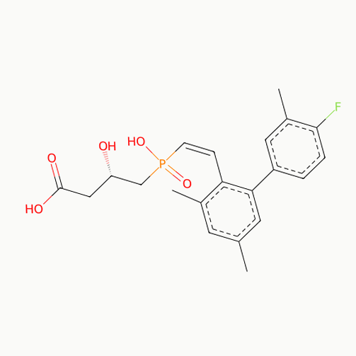 Cc1cc(C)c(/C=C\P(=O)(O)C[C@@H](O)CC(=O)O)c(-c2ccc(F)c(C)c2)c1